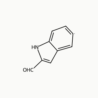 O=Cc1cc2c[c]ccc2[nH]1